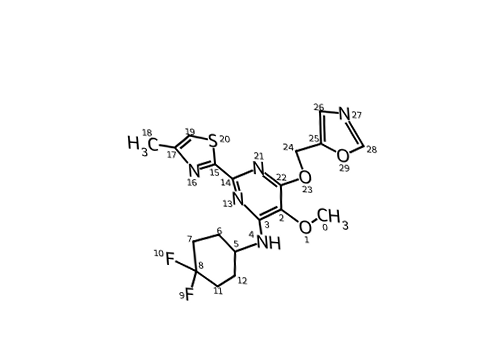 COc1c(NC2CCC(F)(F)CC2)nc(-c2nc(C)cs2)nc1OCc1cnco1